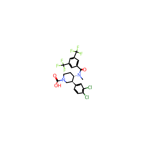 CN(C(=O)c1cc(C(F)(F)F)cc(C(F)(F)F)c1)[C@H]1CCN(C(=O)O)C[C@@H]1c1ccc(Cl)c(Cl)c1